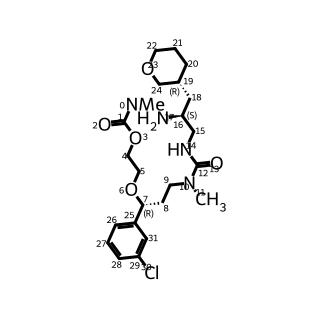 CNC(=O)OCCO[C@H](CCN(C)C(=O)NC[C@@H](N)C[C@H]1CCCOC1)c1cccc(Cl)c1